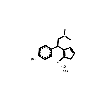 CP(C)CC(C1=[C]([Zr])CC=C1)c1ccccc1.Cl.Cl.Cl